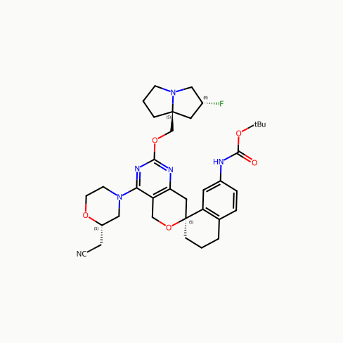 CC(C)(C)OC(=O)Nc1ccc2c(c1)[C@]1(CCC2)Cc2nc(OC[C@@]34CCCN3C[C@H](F)C4)nc(N3CCO[C@@H](CC#N)C3)c2CO1